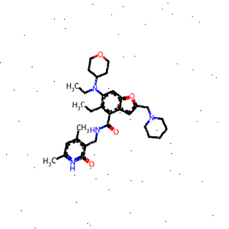 CCc1c(N(CC)C2CCOCC2)cc2oc(CN3CCCCC3)cc2c1C(=O)NCc1c(C)cc(C)[nH]c1=O